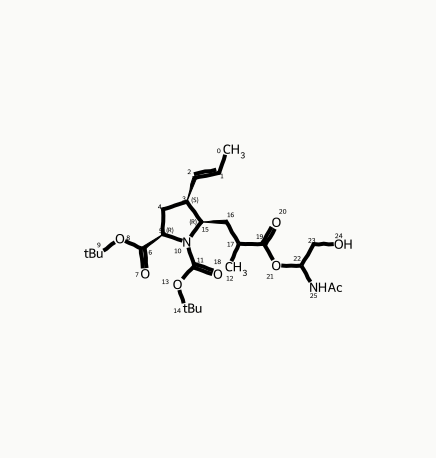 CC=C[C@@H]1C[C@H](C(=O)OC(C)(C)C)N(C(=O)OC(C)(C)C)[C@@H]1CC(C)C(=O)OC(CO)NC(C)=O